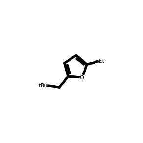 CCc1ccc(CC(C)(C)C)o1